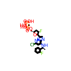 C[C@H](Nc1cc(Cl)nn2c(C3O[C@H](COP(=O)(O)CP(=O)(O)O)C[C@@H]3F)cnc12)c1ccccc1F